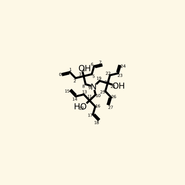 C=CCC(O)(CC=C)CN(CC(O)(CC=C)CC=C)CC(O)(CC=C)CC=C